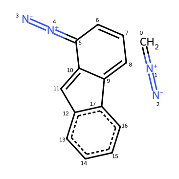 C=[N+]=[N-].[N-]=[N+]=C1C=CC=C2C1=Cc1ccccc12